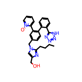 CCCCc1nc(CO)cn1Cc1ccc(-c2ccccc2-c2nnn[nH]2)c(-c2cccc[n+]2[O-])c1